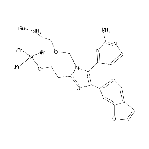 CC(C)[Si](OCCc1nc(-c2ccc3ccoc3c2)c(-c2ccnc(N)n2)n1COCC[SiH2]C(C)(C)C)(C(C)C)C(C)C